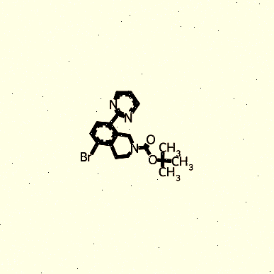 CC(C)(C)OC(=O)N1CCc2c(Br)ccc(-c3ncccn3)c2C1